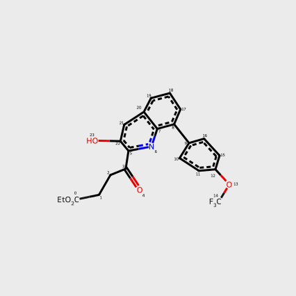 CCOC(=O)CCC(=O)c1nc2c(-c3ccc(OC(F)(F)F)cc3)cccc2cc1O